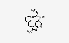 C=CC(=O)N(CC)c1cnc2nc(C)n(Cc3ccccc3)c2c1